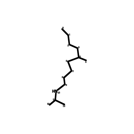 CCCCC(C)CCCCNC(C)C